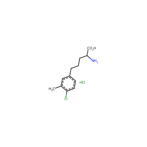 Cc1cc(CCCC(N)C(=O)O)ccc1Cl.Cl